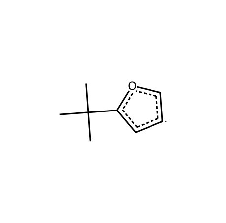 CC(C)(C)c1c[c]co1